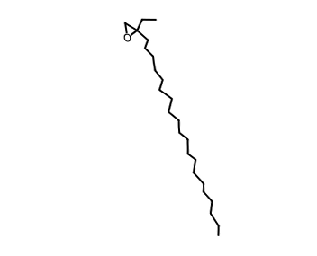 CCCCCCCCCCCCCCCCCCCCC1(CC)CO1